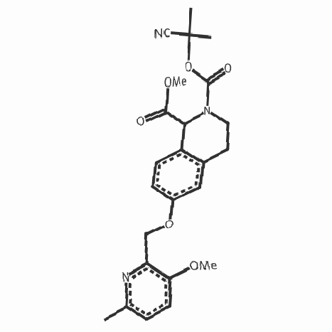 COC(=O)C1c2ccc(OCc3nc(C)ccc3OC)cc2CCN1C(=O)OC(C)(C)C#N